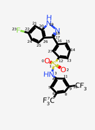 O=S(=O)(Nc1cc(C(F)(F)F)cc(C(F)(F)F)c1)c1cccc(-c2n[nH]c3cc(F)ccc23)c1